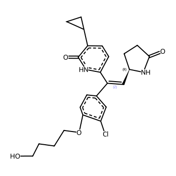 O=C1CC[C@H](/C=C(/c2ccc(OCCCCO)c(Cl)c2)c2ccc(C3CC3)c(=O)[nH]2)N1